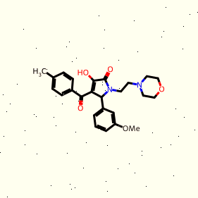 COc1cccc(C2C(C(=O)c3ccc(C)cc3)=C(O)C(=O)N2CCN2CCOCC2)c1